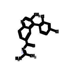 C/C(N)=N\C(=O)c1ccc2ncc(C)c(-c3ccc(Cl)cc3Cl)c2c1